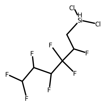 FC(F)C(F)C(F)C(F)(F)C(F)C[SiH](Cl)Cl